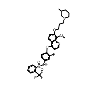 COc1c(OCCCN2CCCC(C)C2)ccc2c(Oc3ccc(NS(=O)(=O)c4ccccc4C(F)(F)F)cc3F)ccnc12